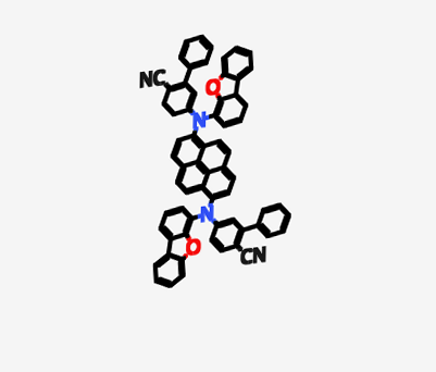 N#CC1=C(c2ccccc2)C=C(N(C2=C3Oc4ccccc4C3CC=C2)c2ccc3ccc4c(N(c5ccc(C#N)c(-c6ccccc6)c5)c5cccc6c5oc5ccccc56)ccc5ccc2c3c54)CC1